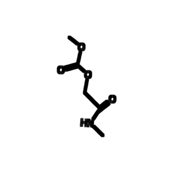 CNC(=O)COC(=O)OC